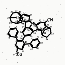 CC(C)(C)c1cc(-c2ccccc2)c(-c2cc3c4c5c(ccc4n4c6cc(C#N)c7c(c6c(c2)c34)C2CCC7CC2)C2CC3CC(C2)CC5C3)c(-c2ccccc2)c1